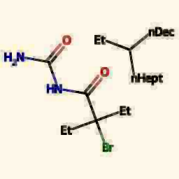 CCC(Br)(CC)C(=O)NC(N)=O.CCCCCCCCCCC(CC)CCCCCCC